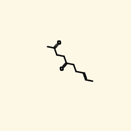 C/C=C/CCC(=O)CCC(C)=O